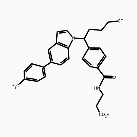 O=C(O)CCNC(=O)c1ccc(C(CCCC(F)(F)F)n2ccc3cc(-c4ccc(C(F)(F)F)cc4)ccc32)cc1